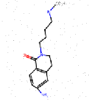 Nc1ccc2c(c1)CCN(CCCCNC(=O)O)C2=O